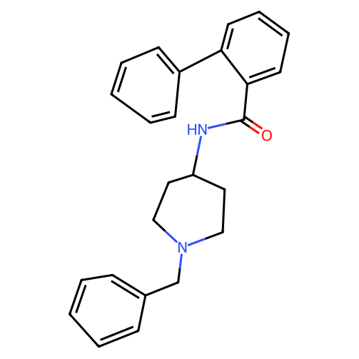 O=C(NC1CCN(Cc2ccccc2)CC1)c1ccccc1-c1ccccc1